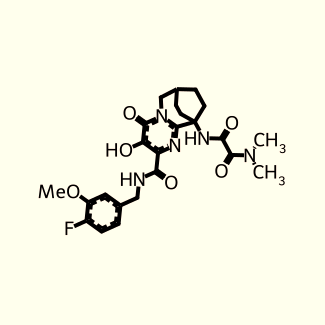 COc1cc(CNC(=O)c2nc3n(c(=O)c2O)CC2CCC3(NC(=O)C(=O)N(C)C)CC2)ccc1F